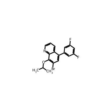 CC(C)Oc1c(Br)cc(-c2cc(F)cc(F)c2)c2cccnc12